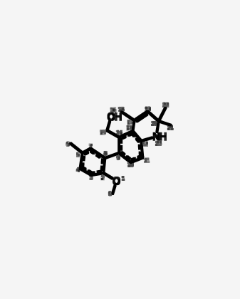 COc1ccc(C)cc1-c1ccc2c(c1CO)C(C)=CC(C)(C)N2